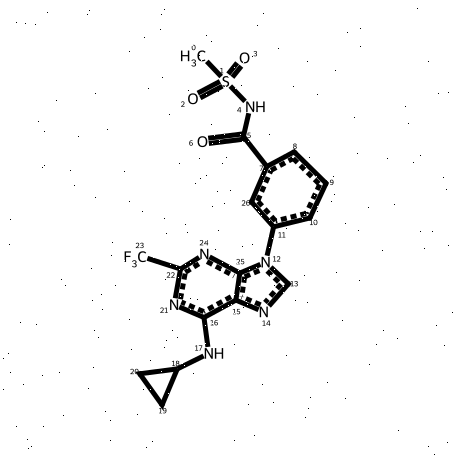 CS(=O)(=O)NC(=O)c1cccc(-n2cnc3c(NC4CC4)nc(C(F)(F)F)nc32)c1